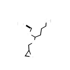 C=COC(CCCC)OCC1CO1